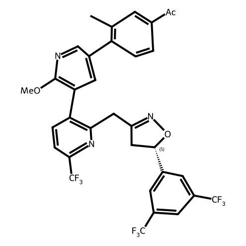 COc1ncc(-c2ccc(C(C)=O)cc2C)cc1-c1ccc(C(F)(F)F)nc1CC1=NO[C@H](c2cc(C(F)(F)F)cc(C(F)(F)F)c2)C1